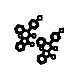 O=C1c2ccccc2C(=O)C1C(=O)C(c1ccccc1)c1ccc(Cl)cc1.O=C1c2ccccc2C(=O)C1C(=O)C(c1ccccc1)c1ccc(Cl)cc1